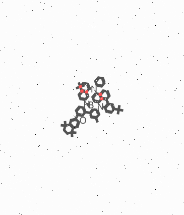 Cc1cc2c3c(c1)N(c1ccc(C(C)(C)C)cc1-c1ccccc1)c1ccc(N(c4ccccc4)c4ccccc4)cc1B3N(c1ccc(C(C)(C)C)cc1)c1ccc3c(oc4cc5c(cc43)C(C)(C)CCC5(C)C)c1-2